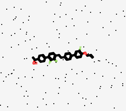 C=CCOc1ccc(-c2ccc(CCc3ccc(C4=CCC(C(C)O)CC4)c(F)c3F)cc2)cc1F